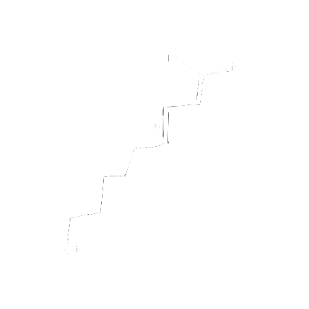 [CH2]/C(C)=C/C=C/CCCCCC